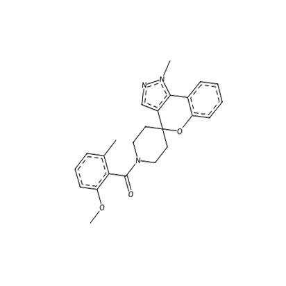 COc1cccc(C)c1C(=O)N1CCC2(CC1)Oc1ccccc1-c1c2cnn1C